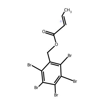 C/C=C/C(=O)OCc1c(Br)c(Br)c(Br)c(Br)c1Br